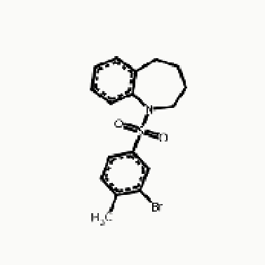 Cc1ccc(S(=O)(=O)N2CCCCc3ccccc32)cc1Br